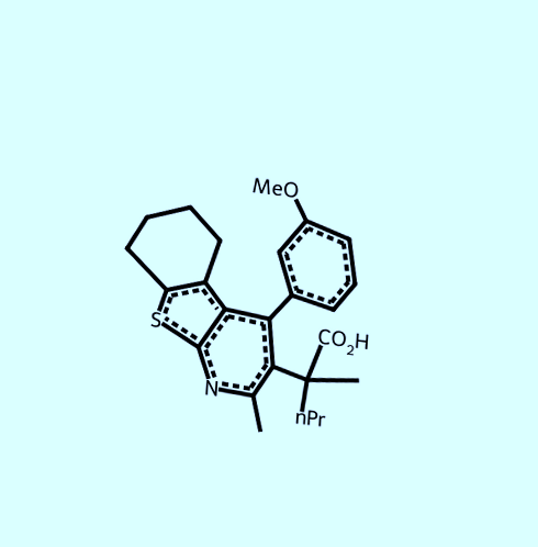 CCCC(C)(C(=O)O)c1c(C)nc2sc3c(c2c1-c1cccc(OC)c1)CCCC3